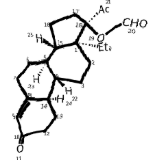 CC[C@]12CC[C@H]3[C@@H](CCC4=CC(=O)CC[C@@H]43)[C@@H]1CC[C@]2(OC=O)C(C)=O